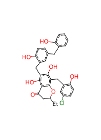 CCC1CC(=O)c2c(O)c(Cc3cc(Cc4ccccc4O)ccc3O)c(O)c(Cc3cc(Cl)ccc3O)c2O1